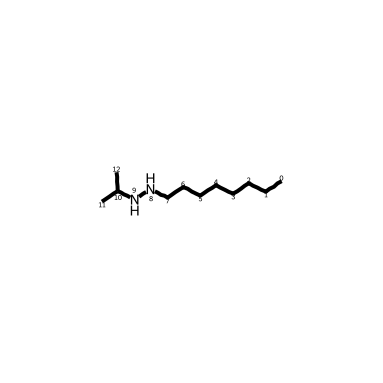 CCCCCCCCNNC(C)C